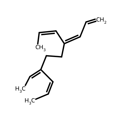 C=C/C=C(\C=C/C)CCC(/C=C\C)=C/C